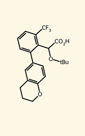 CC(C)(C)OC(C(=O)O)c1c(-c2ccc3c(c2)CCCO3)cccc1C(F)(F)F